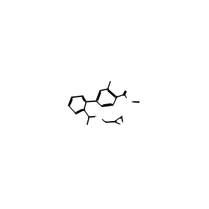 COC(=O)c1ccc(-c2ccccc2C(C)OCC2CO2)cc1C